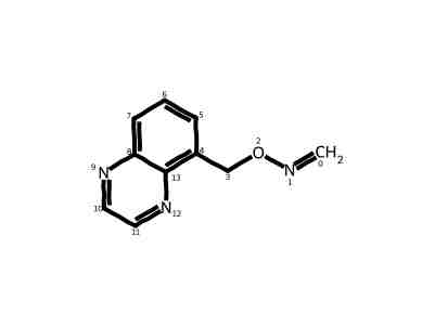 C=NOCc1cccc2nccnc12